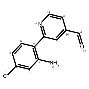 Nc1cc(Cl)ccc1-c1cc(C=O)ccn1